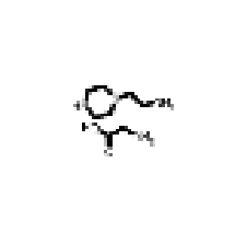 NCC(=O)O.NCCN1CCNCC1